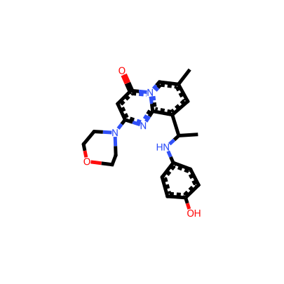 Cc1cc(C(C)Nc2ccc(O)cc2)c2nc(N3CCOCC3)cc(=O)n2c1